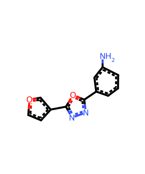 Nc1cccc(-c2nnc(-c3ccoc3)o2)c1